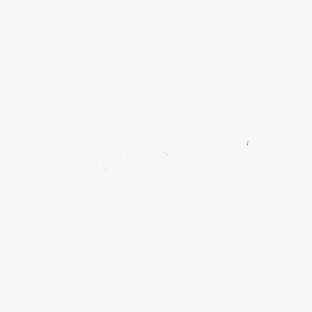 CCC1(OC)CN(c2nc(C(=O)Nc3ccc(O[C@@H]4CC5C[C@@H]5C4)c(F)c3)c(CC(F)(F)F)o2)C1